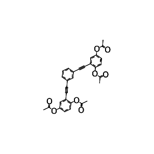 CC(=O)Oc1ccc(OC(C)=O)c(C#Cc2cccc(C#Cc3cc(OC(C)=O)ccc3OC(C)=O)c2)c1